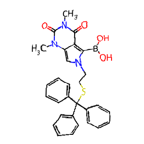 Cn1c(=O)c2c(B(O)O)n(CCSC(c3ccccc3)(c3ccccc3)c3ccccc3)cc2n(C)c1=O